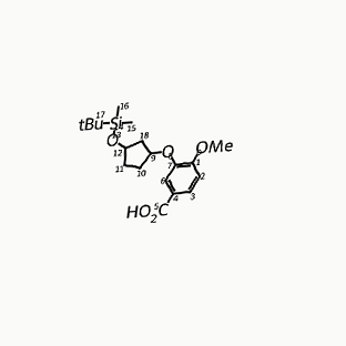 COc1ccc(C(=O)O)cc1OC1CCC(O[Si](C)(C)C(C)(C)C)C1